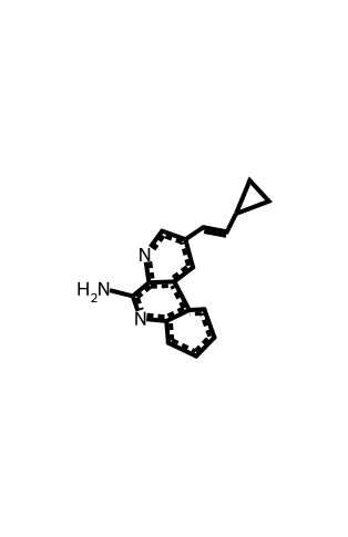 Nc1nc2ccccc2c2cc(C=CC3CC3)cnc12